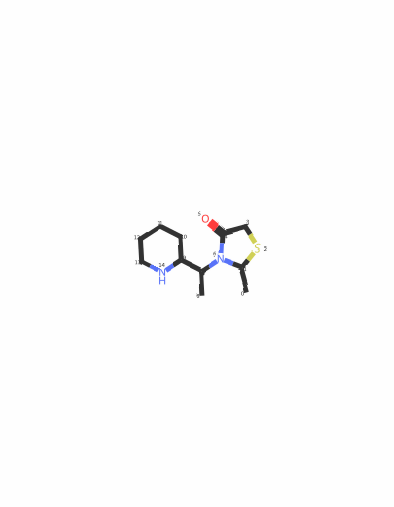 CC1SCC(=O)N1C(C)C1CCCCN1